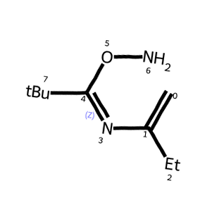 C=C(CC)/N=C(\ON)C(C)(C)C